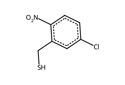 O=[N+]([O-])c1ccc(Cl)cc1CS